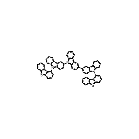 c1ccc2c(c1)sc1cccc(-n3c4ccccc4c4cc(-c5ccc6c(c5)c5ccccc5n6-c5ccc6c(c5)c5ccccc5n6-c5cccc6sc7ccccc7c56)ccc43)c12